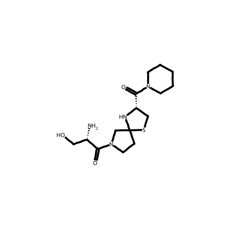 N[C@@H](CO)C(=O)N1CCC2(C1)N[C@H](C(=O)N1CCCCC1)CS2